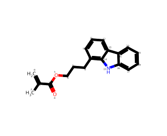 C=C(C)C(=O)OCCCc1cccc2c1[nH]c1ccccc12